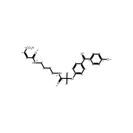 CC(C)(Oc1ccc(C(=O)c2ccc(Cl)cc2)cc1)C(=O)NCCCCNC(=O)/C=C\C(=O)O